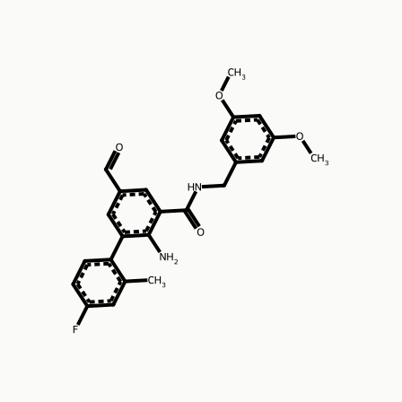 COc1cc(CNC(=O)c2cc(C=O)cc(-c3ccc(F)cc3C)c2N)cc(OC)c1